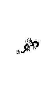 CCOC(=O)c1cc(CBr)nn1-c1ncccc1Cl